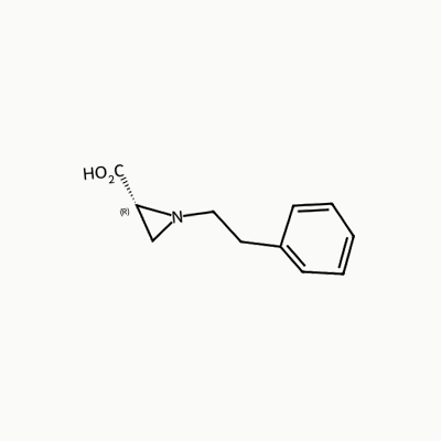 O=C(O)[C@H]1CN1CCc1ccccc1